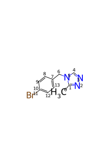 Cc1nncn1Cc1ccc(Br)cc1